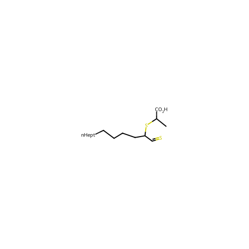 CCCCCCCCCCCC(C=S)SC(C)C(=O)O